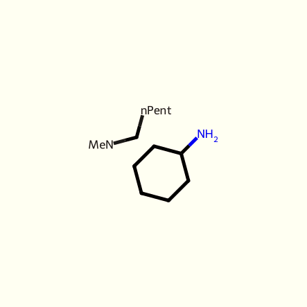 CCCCCCNC.NC1CCCCC1